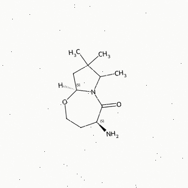 CC1N2C(=O)[C@@H](N)CCO[C@H]2CC1(C)C